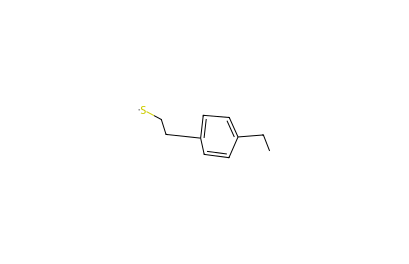 CCc1ccc(CC[S])cc1